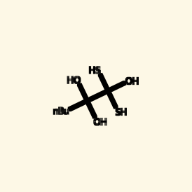 CCCCC(O)(O)C(O)(S)S